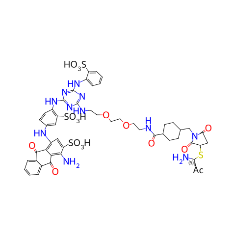 CC(=O)[C@@H](N)SC1CC(=O)N(CC2CCC(C(=O)NCCOCCOCCNc3nc(Nc4ccccc4S(=O)(=O)O)nc(Nc4ccc(Nc5cc(S(=O)(=O)O)c(N)c6c5C(=O)c5ccccc5C6=O)cc4S(=O)(=O)O)n3)CC2)C1=O